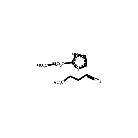 C=CCCC(=O)O.CC(=O)O.CCOC(=O)c1ncc[nH]1